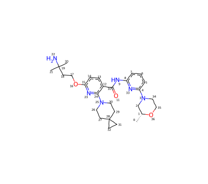 C[C@@H]1CN(c2cccc(NC(=O)c3ccc(OCCC(C)(C)N)nc3N3CCC4(CC3)CC4)n2)CCO1